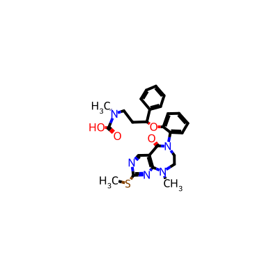 CSc1ncc2c(n1)N(C)CCN(c1ccccc1OC(CCN(C)C(=O)O)c1ccccc1)C2=O